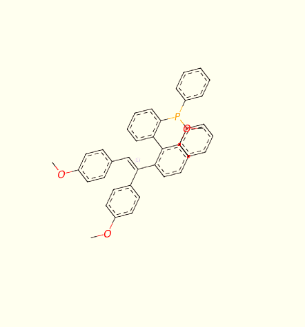 COc1ccc(/C=C(\c2ccc(OC)cc2)c2cccc(OC)c2-c2ccccc2P(c2ccccc2)c2ccccc2)cc1